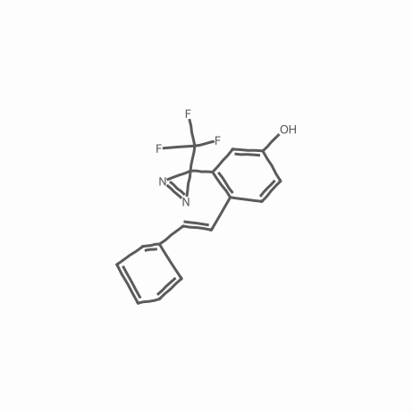 Oc1ccc(C=Cc2ccccc2)c(C2(C(F)(F)F)N=N2)c1